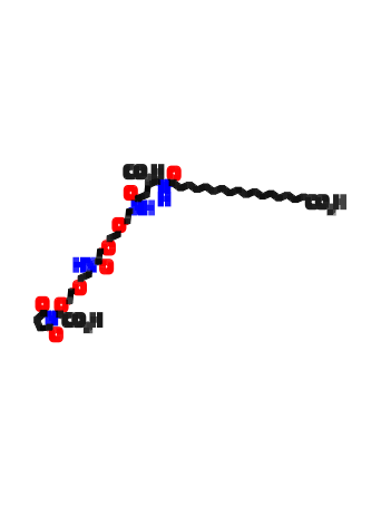 O=C(O)CCCCCCCCCCCCCCCCC(=O)N[C@@H](CCC(=O)NCCOCCOCC(=O)NCCOCCOC(C(=O)O)N1C(=O)CCC1=O)C(=O)O